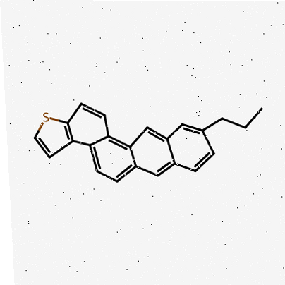 CCCc1ccc2cc3ccc4c5ccsc5ccc4c3cc2c1